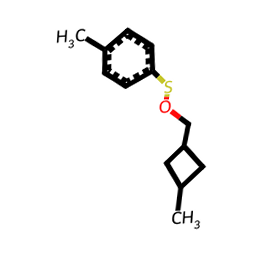 Cc1ccc(SOCC2CC(C)C2)cc1